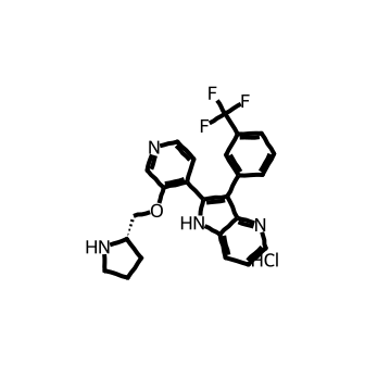 Cl.FC(F)(F)c1cccc(-c2c(-c3ccncc3OC[C@@H]3CCCN3)[nH]c3cccnc23)c1